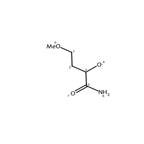 COCCC([O])C(N)=O